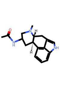 CC(=O)NC1C[C@@H]2c3cccc4[nH]cc(c34)C[C@H]2N(C)C1